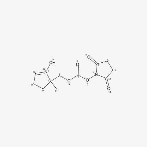 CC1(COC(=O)ON2C(=O)CCC2=O)CCC=[N+]1O